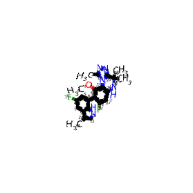 COc1c(-c2cc(F)cc3c(C)c[nH]c23)c(F)cc2c1-n1c(C)nnc1C(C)(C)N2